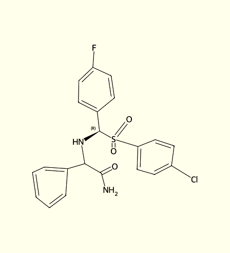 NC(=O)C(N[C@@H](c1ccc(F)cc1)S(=O)(=O)c1ccc(Cl)cc1)c1ccccc1